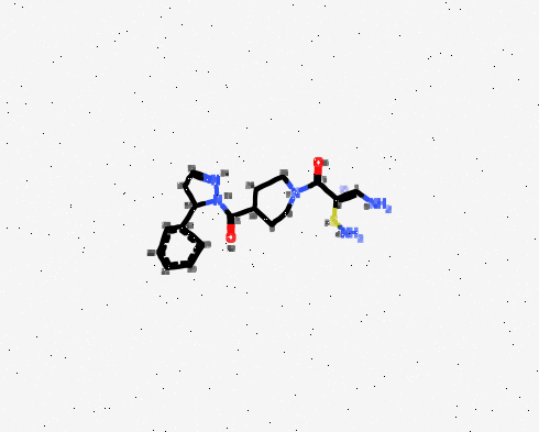 N/C=C(\SN)C(=O)N1CCC(C(=O)N2N=CCC2c2ccccc2)CC1